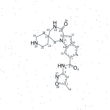 Cc1cc(NC(=O)c2ccc3cc4n(c3c2)CC2(CCNCC2)CNC4=O)no1